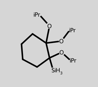 CC(C)OC1([SiH3])CCCCC1(OC(C)C)OC(C)C